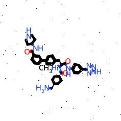 Cc1ccc(C(=O)NC2CCNCC2)cc1-c1ccc(C[C@H](NC(=O)[C@H]2CC[C@H](CN)CC2)C(=O)Nc2ccc(-c3nn[nH]n3)cc2)cc1